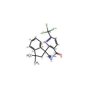 CC1(C)CC(C#N)(c2nc(C(F)(F)F)ccc2C(N)=O)c2ccccc21